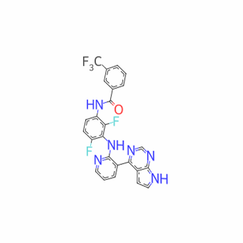 O=C(Nc1ccc(F)c(Nc2ncccc2-c2ncnc3[nH]ccc23)c1F)c1cccc(C(F)(F)F)c1